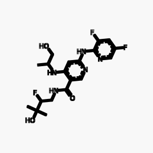 CC(CO)Nc1cc(Nc2ncc(F)cc2F)ncc1C(=O)NCC(F)C(C)(C)O